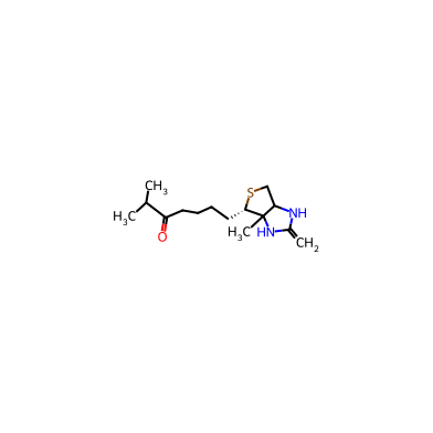 C=C1NC2CS[C@@H](CCCCC(=O)C(C)C)C2(C)N1